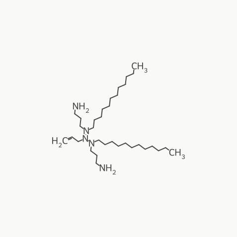 C=CCN(N(CCCN)CCCCCCCCCCCC)N(CCCN)CCCCCCCCCCCC